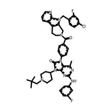 Cc1nc(Nc2cccc(F)c2)nc2c1n(-c1ccc(C(=O)N3CCc4c(n(Cc5ccc(Cl)cc5F)c5ncccc45)C3)cc1)c(=O)n2C1CCN(CC(C)(C)C)CC1